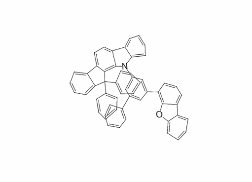 c1ccc(-c2cc(-c3cccc4c3oc3ccccc34)cc(-n3c4ccccc4c4ccc5c(c43)C(c3ccccc3)(c3ccccc3)c3ccccc3-5)c2)cc1